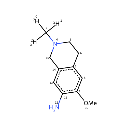 [2H]C([2H])([2H])N1CCc2cc(OC)c(N)cc2C1